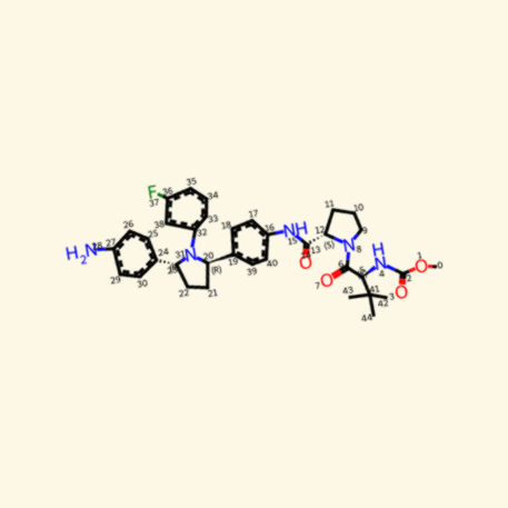 COC(=O)N[C@H](C(=O)N1CCC[C@H]1C(=O)Nc1ccc([C@H]2CC[C@H](c3ccc(N)cc3)N2c2cccc(F)c2)cc1)C(C)(C)C